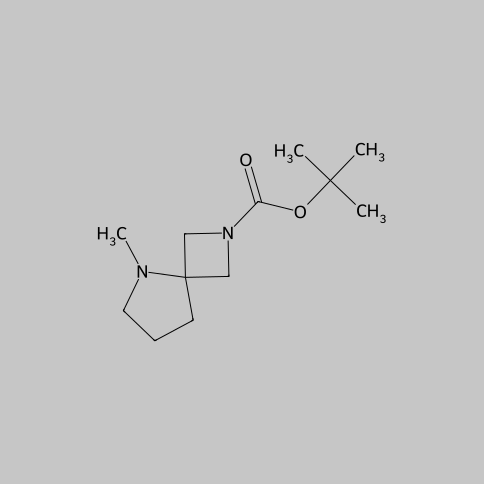 CN1CCCC12CN(C(=O)OC(C)(C)C)C2